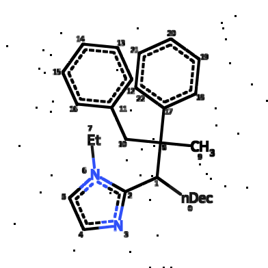 CCCCCCCCCCC(c1nccn1CC)C(C)(Cc1ccccc1)c1ccccc1